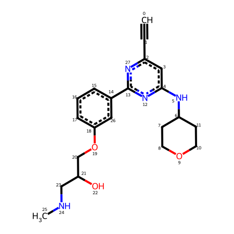 C#Cc1cc(NC2CCOCC2)nc(-c2cccc(OCC(O)CNC)c2)n1